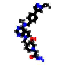 CCN(Cc1ccc(-c2cnn(C)c2)cc1)c1ncnc2c1ccn2C[C@H]1CCN(CC(N)=O)C[C@@H]1O